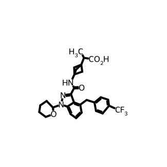 CC(C(=O)O)C12CC(NC(=O)c3nn(C4CCCCO4)c4cccc(Cc5ccc(C(F)(F)F)cc5)c34)(C1)C2